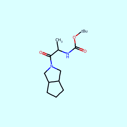 CC(NC(=O)OC(C)(C)C)C(=O)N1CC2CCCC2C1